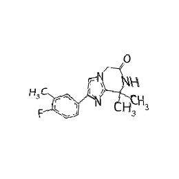 Cc1cc(-c2cn3c(n2)C(C)(C)NC(=O)C3)ccc1F